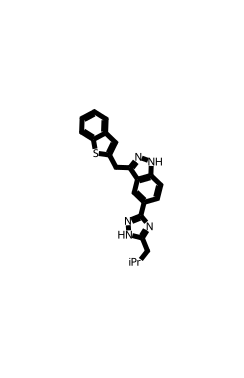 CC(C)Cc1nc(-c2ccc3[nH]nc(Cc4cc5ccccc5s4)c3c2)n[nH]1